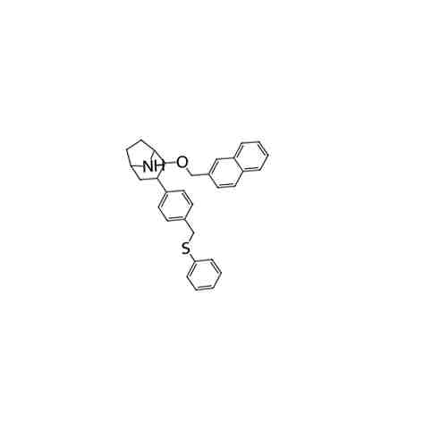 c1ccc(SCc2ccc(C3CC4CCC(N4)C3OCc3ccc4ccccc4c3)cc2)cc1